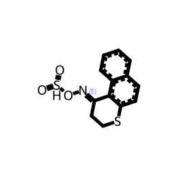 O=[SH](=O)O/N=C1\CCSc2ccc3ccccc3c21